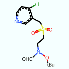 CC(C)(C)ON(C=O)CCS(=O)(=O)Cc1cnccc1Cl